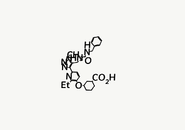 CCc1nc(-c2nnn(C)c2CNC(=O)NCc2ccccc2)ccc1O[C@H]1CCC[C@H](C(=O)O)C1